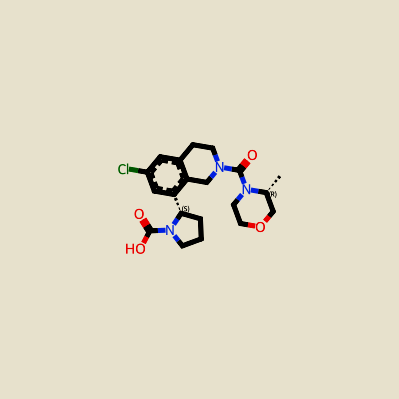 C[C@@H]1COCCN1C(=O)N1CCc2cc(Cl)cc([C@@H]3CCCN3C(=O)O)c2C1